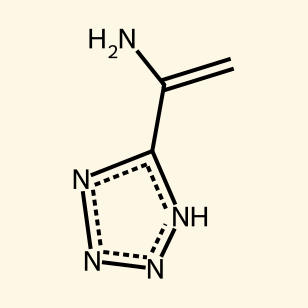 C=C(N)c1nnn[nH]1